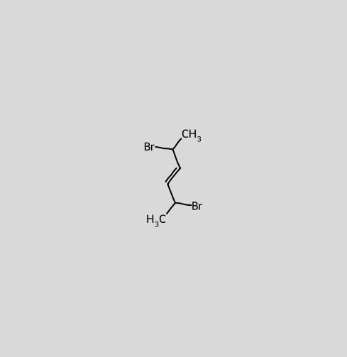 CC(Br)/C=C/C(C)Br